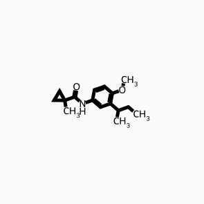 CCC(C)c1cc(NC(=O)C2(C)CC2)ccc1OC